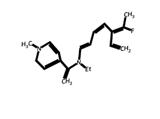 C=CC(/C=C\C=C\N(CC)C(=C)C1=CCN(C)C=C1)=C(/C)F